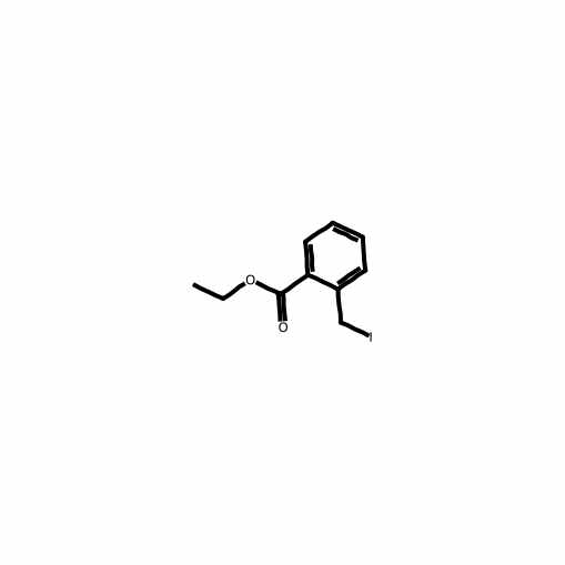 CCOC(=O)c1ccccc1CI